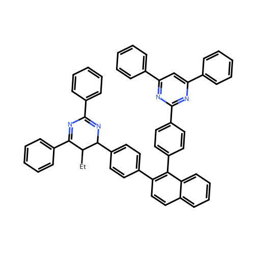 CCC1C(c2ccccc2)=NC(c2ccccc2)=NC1c1ccc(-c2ccc3ccccc3c2-c2ccc(-c3nc(-c4ccccc4)cc(-c4ccccc4)n3)cc2)cc1